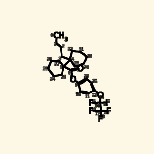 CCCCC1(C2(C(=O)Oc3ccc(OC(F)(F)C(F)(F)F)cc3)CCCCC2)CCCCC1